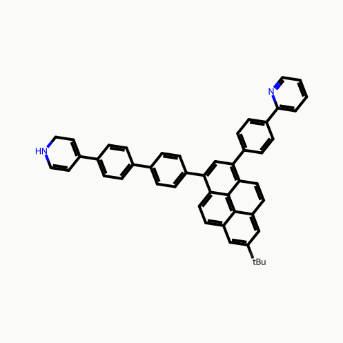 CC(C)(C)c1cc2ccc3c(-c4ccc(-c5ccc(C6=CCNC=C6)cc5)cc4)cc(-c4ccc(-c5ccccn5)cc4)c4ccc(c1)c2c34